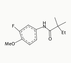 CCC(C)(C)C(=O)Nc1ccc(OC)c(F)c1